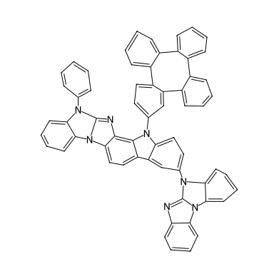 c1ccc(-n2c3ccccc3n3c4ccc5c6cc(-n7c8ccccc8n8c9ccccc9nc78)ccc6n(-c6ccc7c(c6)-c6ccccc6-c6ccccc6-c6ccccc6-7)c5c4nc23)cc1